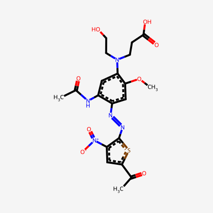 COc1cc(N=Nc2sc(C(C)=O)cc2[N+](=O)[O-])c(NC(C)=O)cc1N(CCO)CCC(=O)O